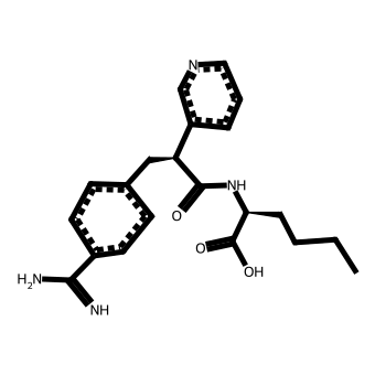 CCCC[C@H](NC(=O)[C@@H](Cc1ccc(C(=N)N)cc1)c1cccnc1)C(=O)O